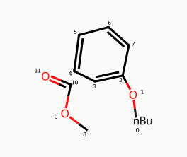 CCCCOc1ccccc1.COC=O